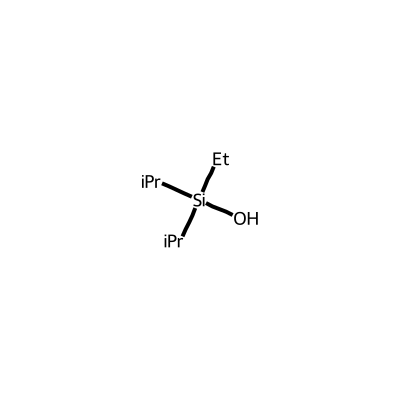 CC[Si](O)(C(C)C)C(C)C